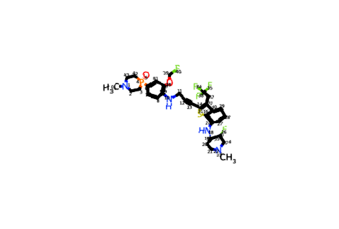 CN1CCP(=O)(c2ccc(NCC#Cc3sc4c(N[C@H]5CCN(C)C[C@H]5F)cccc4c3CC(F)(F)F)c(OCF)c2)CC1